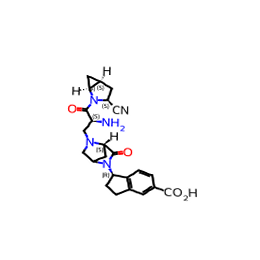 N#C[C@@H]1C[C@@H]2C[C@@H]2N1C(=O)[C@@H](N)CN1CC2C[C@H]1C(=O)N2[C@@H]1CCc2cc(C(=O)O)ccc21